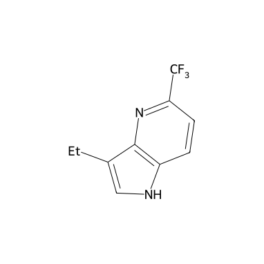 CCc1c[nH]c2ccc(C(F)(F)F)nc12